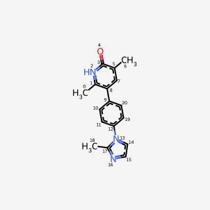 Cc1[nH]c(=O)c(C)cc1-c1ccc(-n2ccnc2C)cc1